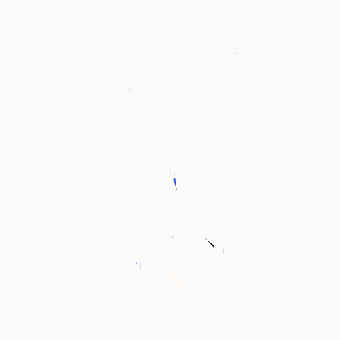 CC[C@@H]1C[C@H](NCc2cc(C(C)(F)F)cc(C(F)(F)F)c2)CN1C(=O)N1CCCCC1